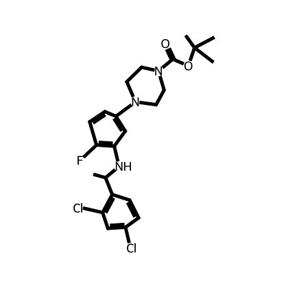 CC(Nc1cc(N2CCN(C(=O)OC(C)(C)C)CC2)ccc1F)c1ccc(Cl)cc1Cl